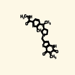 CNC(=O)c1ccc(N(C)C2CCN(Cc3cc4[nH]c(=O)n(C)c(=O)c4s3)C2)c(C)n1